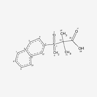 C=S(=O)(c1ccc2ccccc2c1)C(C)(C)C(=O)O